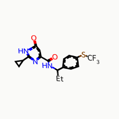 CCC(NC(=O)c1cc(=O)[nH]c(C2CC2)n1)c1ccc(SC(F)(F)F)cc1